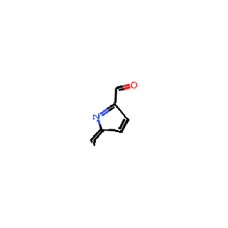 C=C1C=CC(C=O)=N1